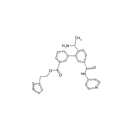 CC(N)c1ccc(C(=O)Nc2ccncc2)cc1-c1cccc(C(=O)OCCc2cccs2)c1